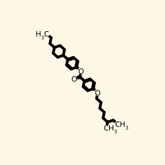 CCCC1CCC(c2ccc(OC(=O)c3ccc(OCCCCCC(C)CC)cc3)cc2)CC1